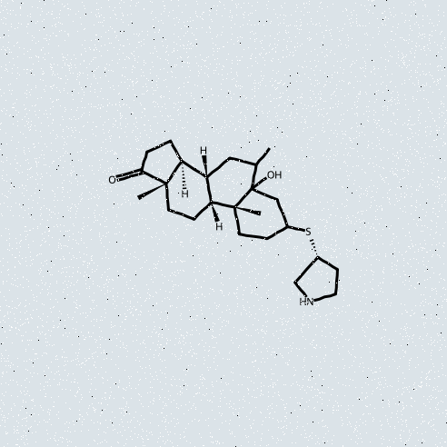 CC1C[C@@H]2[C@@H](CC[C@]3(C)C(=O)CC[C@@H]23)[C@@]2(C)CCC(S[C@@H]3CCNC3)CC12O